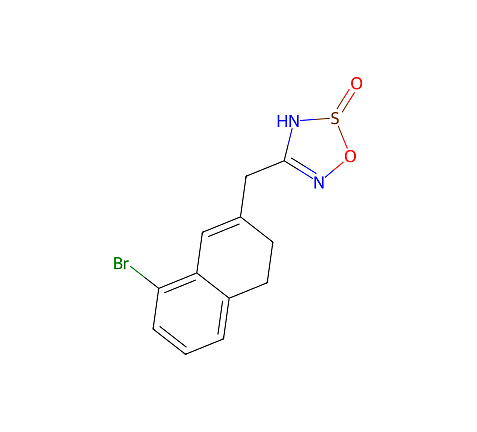 O=S1NC(CC2=Cc3c(Br)cccc3CC2)=NO1